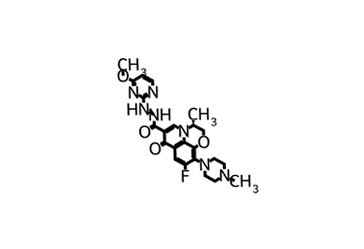 COc1ccnc(NNC(=O)c2cn3c4c(c(N5CCN(C)CC5)c(F)cc4c2=O)OC[C@@H]3C)n1